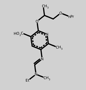 CCCOCC(C)Oc1nc(C)c(/N=C/N(C)CC)cc1C(=O)O